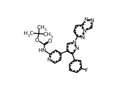 CC(C)(C)OC(=O)Nc1cc(-c2cn(-c3ccc4nncn4n3)nc2-c2cccc(F)c2)ccn1